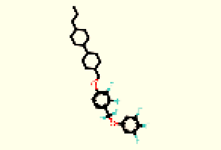 CCCC1CCC(C2CCC(COc3ccc(C(F)(F)Oc4cc(F)c(F)c(F)c4)c(F)c3F)CC2)CC1